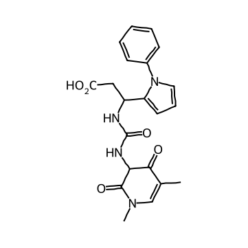 CC1=CN(C)C(=O)C(NC(=O)NC(CC(=O)O)c2cccn2-c2ccccc2)C1=O